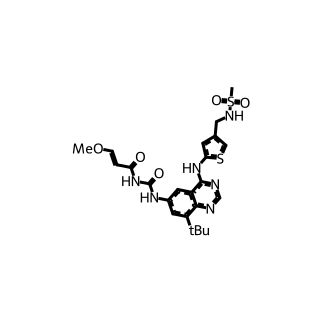 CO/C=C/C(=O)NC(=O)Nc1cc(C(C)(C)C)c2ncnc(Nc3cc(CNS(C)(=O)=O)cs3)c2c1